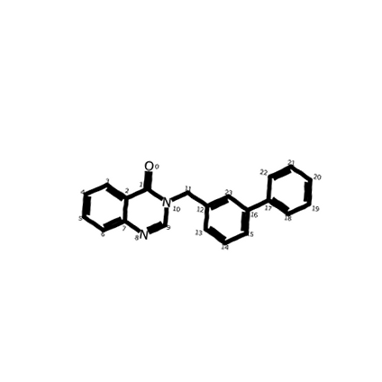 O=c1c2ccccc2ncn1Cc1cccc(-c2ccccc2)c1